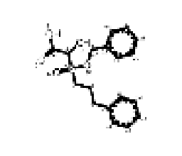 CC(C(=O)O)P(=O)(CCCc1ccccc1)OCc1ccccc1